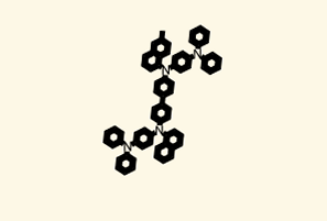 Cc1ccc2c(N(c3ccc(-c4ccc(N(c5ccc(N(c6ccccc6)c6ccccc6)cc5)c5cccc6ccccc56)cc4)cc3)c3ccc(N(c4ccccc4)c4ccccc4)cc3)cccc2c1